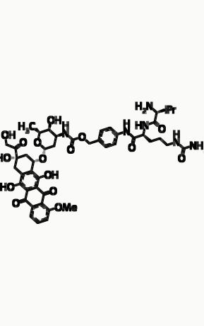 COc1cccc2c1C(=O)c1c(O)c3c(c(O)c1C2=O)C[C@@](O)(C(=O)CO)C[C@@H]3O[C@H]1C[C@H](NC(=O)OCc2ccc(NC(=O)[C@H](CCCNC(N)=O)NC(=O)[C@@H](N)C(C)C)cc2)[C@H](O)[C@H](C)O1